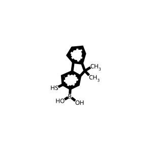 CC1(C)c2ccccc2-c2cc(S)c(B(O)O)cc21